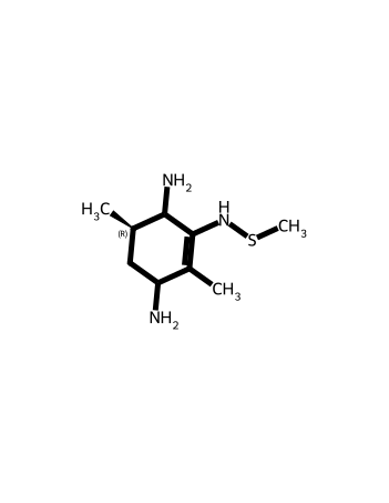 CSNC1=C(C)C(N)C[C@@H](C)C1N